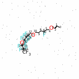 CC=COCC[C@@H](F)CCCOCC(F)(F)C(F)(F)C(F)(F)OC(F)(F)C(F)(F)C(F)(F)F